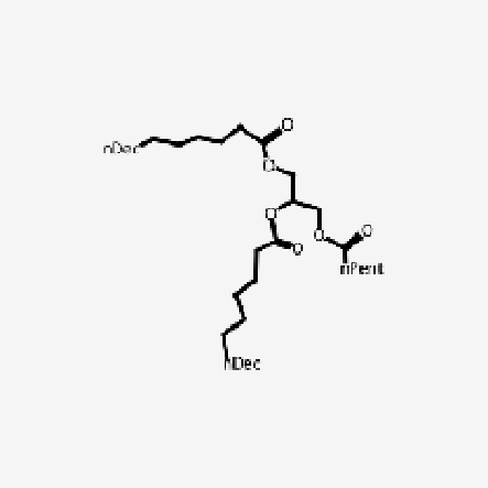 CCCCCCCCCCCCCCCC(=O)OCC(COC(=O)CCCCC)OC(=O)CCCCCCCCCCCCCCC